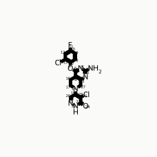 Nc1nc2c(c(Oc3ccc(F)cc3Cl)n1)CCN(c1cn[nH]c(=O)c1Cl)C2